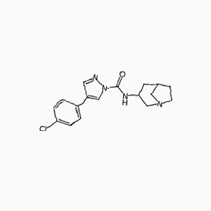 O=C(NC1CC2CCN(C2)C1)n1cc(-c2ccc(Cl)cc2)cn1